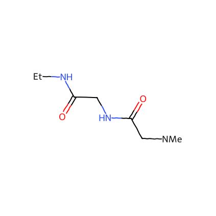 CCNC(=O)CNC(=O)CNC